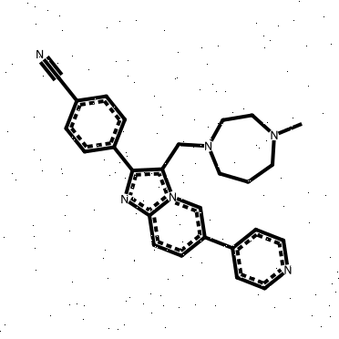 CN1CCCN(Cc2c(-c3ccc(C#N)cc3)nc3ccc(-c4ccncc4)cn23)CC1